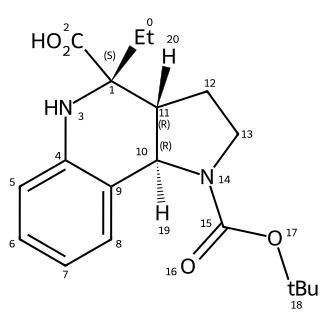 CC[C@]1(C(=O)O)Nc2ccccc2[C@H]2[C@H]1CCN2C(=O)OC(C)(C)C